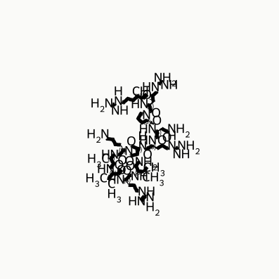 CC(C)[C@H](NC(=O)[C@H](CCCNC(=N)N)NC(=O)[C@@H](NC(=O)[C@H](C)NC(=O)[C@H](CCCCN)N1C(=O)C[C@H](NC(=O)[C@H](CCCNC(=N)N)NC(=O)[C@H](CC(N)=O)NC(=O)[C@@H]2CCCN2C(=O)[C@H](CCCNC(=N)N)NC(=O)[C@@H](C)CCCNC(=N)N)C1=O)C(C)C)C(N)=O